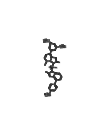 CC1=Cc2c(-c3ccc(C(C)(C)C)cc3)cccc2C1[Si](C)(C)C1C(C)=Cc2c(-c3cc(C(C)(C)C)cc(C(C)(C)C)c3)ccc(C)c21